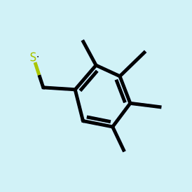 Cc1cc(C[S])c(C)c(C)c1C